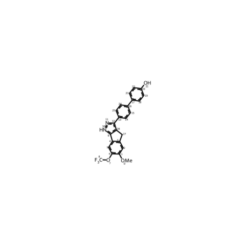 COc1cc2c(cc1OC(F)(F)F)-c1[nH]nc(-c3ccc(-c4ccc(O)cc4)cc3)c1C2